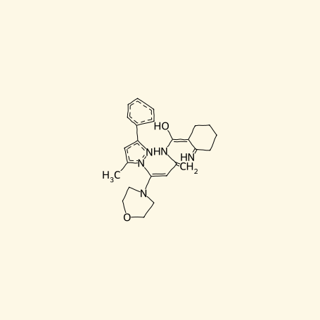 C=C(/C=C(/N1CCOCC1)n1nc(-c2ccccc2)cc1C)N/C(O)=C1/CCCCC1=N